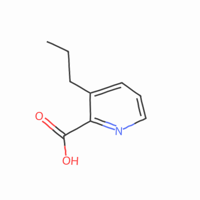 CCCc1cccnc1C(=O)O